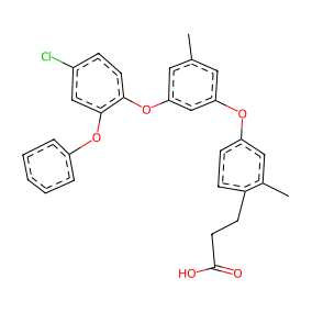 Cc1cc(Oc2ccc(CCC(=O)O)c(C)c2)cc(Oc2ccc(Cl)cc2Oc2ccccc2)c1